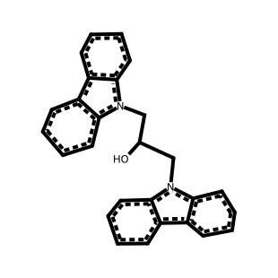 OC(Cn1c2ccccc2c2ccccc21)Cn1c2ccccc2c2ccccc21